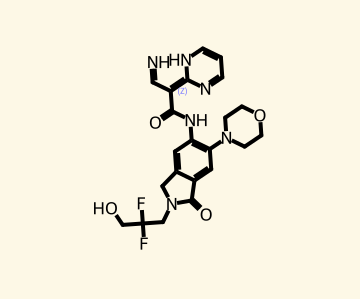 N=C/C(C(=O)Nc1cc2c(cc1N1CCOCC1)C(=O)N(CC(F)(F)CO)C2)=C1/N=CC=CN1